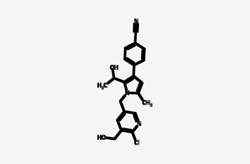 Cc1cc(-c2ccc(C#N)cc2)c(C(C)O)n1Cc1cnc(Cl)c(CO)c1